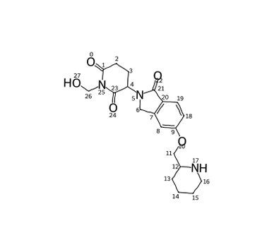 O=C1CCC(N2Cc3cc(OCC4CCCCN4)ccc3C2=O)C(=O)N1CO